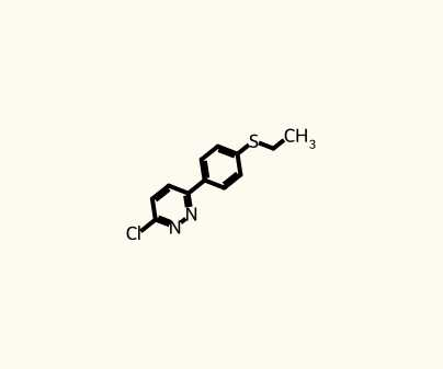 CCSc1ccc(-c2ccc(Cl)nn2)cc1